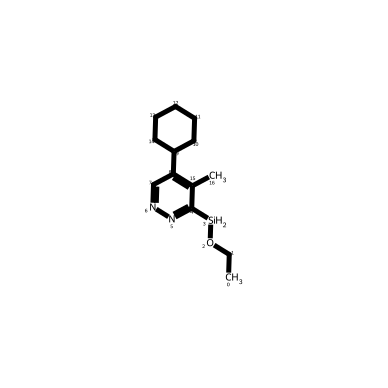 CCO[SiH2]c1nncc(C2CCCCC2)c1C